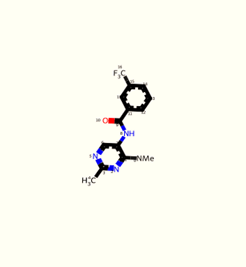 CNc1nc(C)ncc1NC(=O)c1cccc(C(F)(F)F)c1